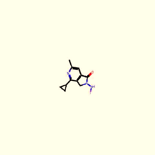 Cc1cc2c(c(C3CC3)n1)CN(NI)C2=O